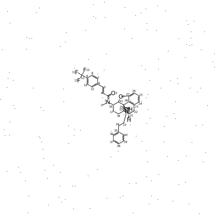 CN(C(=O)/C=C/c1ccc(C(F)(F)F)cc1)C1CC[C@@]2(O)[C@H]3Cc4cccc5c4[C@@]2(CCN3CCc2ccccc2)C1O5